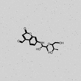 CC(OC(CO)[C@@H](C)O)[C@@H](O)Nc1ccc2c(C=O)cc(=O)oc2c1